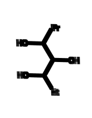 CCC(O)C(O)C(O)C(C)C